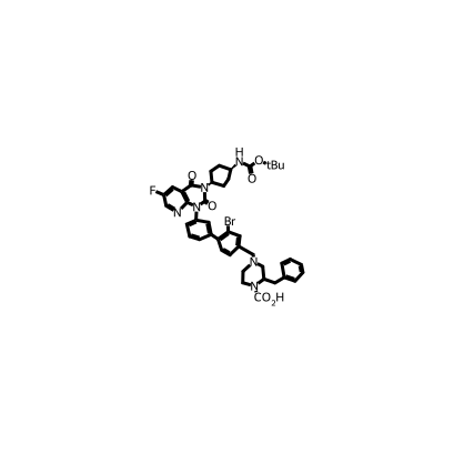 CC(C)(C)OC(=O)N[C@H]1CC[C@@H](n2c(=O)c3cc(F)cnc3n(-c3cccc(-c4ccc(CN5CCN(C(=O)O)C(Cc6ccccc6)C5)cc4Br)c3)c2=O)CC1